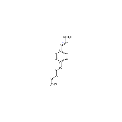 O=COCCOc1ccc(/C=C/C(=O)O)cc1